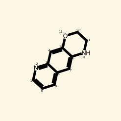 c1cnc2cc3c(cc2c1)NCCO3